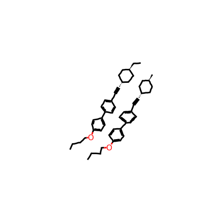 CCCCOc1ccc(-c2ccc(C#C[C@H]3CC[C@H](C)CC3)cc2)cc1.CCCCOc1ccc(-c2ccc(C#C[C@H]3CC[C@H](CC)CC3)cc2)cc1